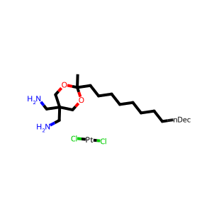 CCCCCCCCCCCCCCCCCCC1(C)OCC(CN)(CN)CO1.[Cl][Pt][Cl]